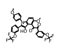 COc1ccc(-n2c(-c3cccc(OC(F)(F)F)c3)c(O)c3c(C(=O)C(=O)c4cccc(OC(F)(F)F)c4)c(OC)ccc32)cc1